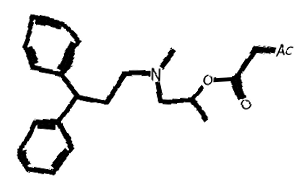 CC(=O)CC(=O)OC(C)CN(C)CCC(c1ccccc1)c1ccccc1